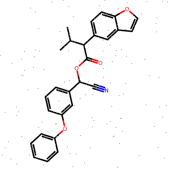 CC(C)C(C(=O)OC(C#N)c1cccc(Oc2ccccc2)c1)c1ccc2occc2c1